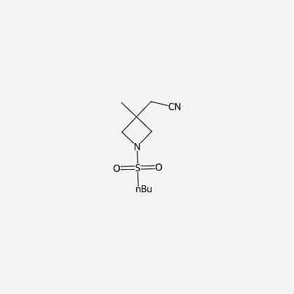 CCCCS(=O)(=O)N1CC(C)(CC#N)C1